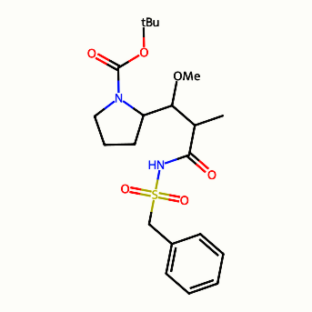 COC(C(C)C(=O)NS(=O)(=O)Cc1ccccc1)C1CCCN1C(=O)OC(C)(C)C